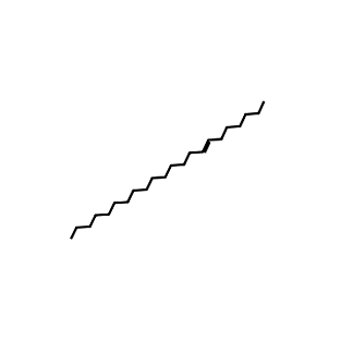 CCCCCCC=CCCCCCCCCCCCCCC